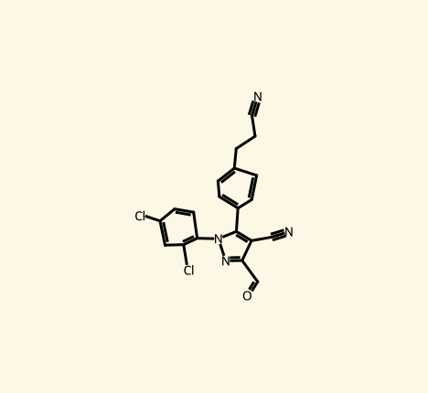 N#CCCc1ccc(-c2c(C#N)c(C=O)nn2-c2ccc(Cl)cc2Cl)cc1